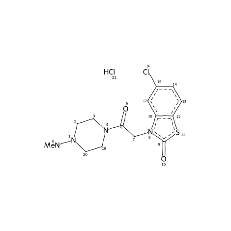 CNN1CCN(C(=O)Cn2c(=O)sc3ccc(Cl)cc32)CC1.Cl